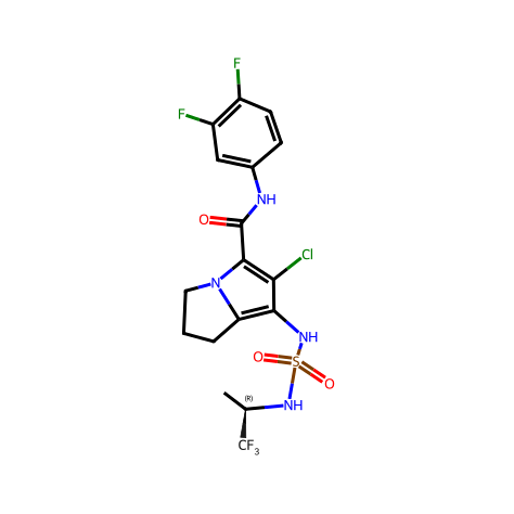 C[C@@H](NS(=O)(=O)Nc1c(Cl)c(C(=O)Nc2ccc(F)c(F)c2)n2c1CCC2)C(F)(F)F